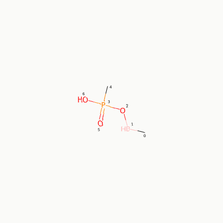 CBOP(C)(=O)O